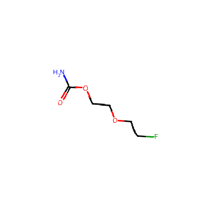 NC(=O)OCCOCCF